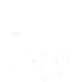 O=S(=O)(c1c(Cl)nc2sccn12)n1cc(CCNCCc2ccccc2)c2ccccc21